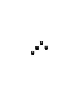 [U].[U].[U].[U]